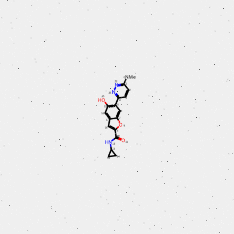 CNc1ccc(-c2cc3oc(C(=O)NC4CC4)cc3cc2O)nn1